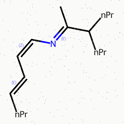 CCC/C=C/C=C\N=C(/C)C(CCC)CCC